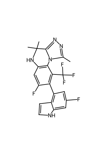 Cc1nnc2n1-c1c(cc(F)c(-c3cc(F)cc4[nH]ccc34)c1C(F)(F)F)NC2(C)C